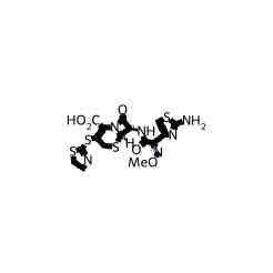 CO/N=C(\C(=O)N[C@@H]1C(=O)N2C(C(=O)O)=C(SC3=NCCS3)CS[C@H]12)c1csc(N)n1